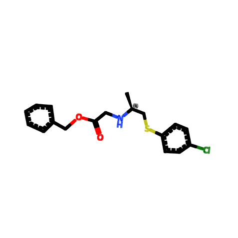 C[C@@H](CSc1ccc(Cl)cc1)NCC(=O)OCc1ccccc1